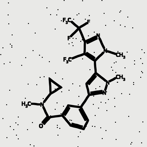 CN(C(=O)c1cccc(-c2cc(-c3c(C(F)(F)F)c(C(F)(F)C(F)(F)F)nn3C)n(C)n2)c1)C1CC1